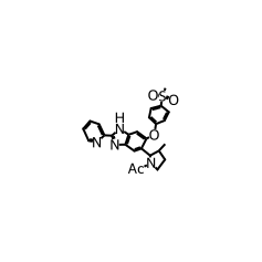 CC(=O)N1CCC(C)C1c1cc2nc(-c3ccccn3)[nH]c2cc1Oc1ccc(S(C)(=O)=O)cc1